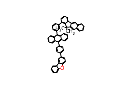 CC1(C)c2cc3ccccc3cc2-c2cccc(-c3cccc(-c4c5ccccc5c(-c5ccc(-c6ccc7oc8ccccc8c7c6)cc5)c5ccccc45)c3)c21